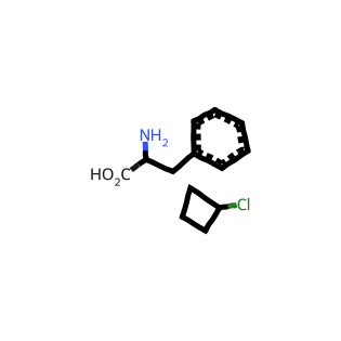 ClC1CCC1.NC(Cc1ccccc1)C(=O)O